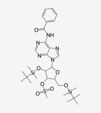 CC(C)(C)[Si](C)(C)OCC1OC(n2cnc3c(NC(=O)c4ccccc4)ncnc32)C(O[Si](C)(C)C(C)(C)C)C1OS(C)(=O)=O